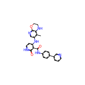 Cc1c(Nc2cc[nH]c(=O)c2C(=O)Nc2ccc(-c3cccnc3)cc2)cnc2c1NCCO2